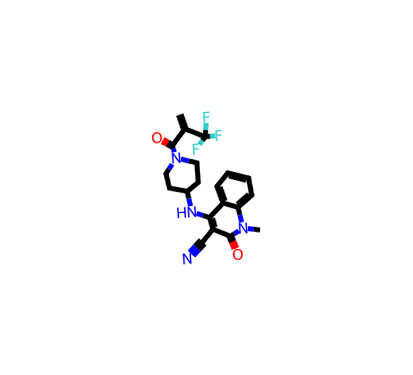 C=C(C(=O)N1CCC(Nc2c(C#N)c(=O)n(C)c3ccccc23)CC1)C(F)(F)F